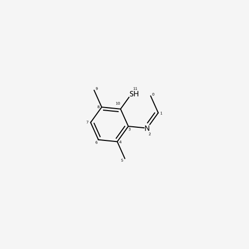 C/C=N\c1c(C)ccc(C)c1S